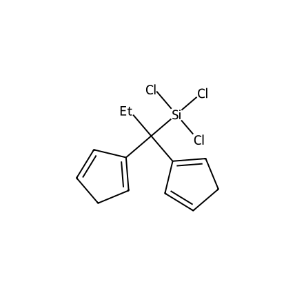 CCC(C1=CCC=C1)(C1=CCC=C1)[Si](Cl)(Cl)Cl